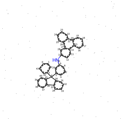 c1ccc(C2(c3cccc(Nc4ccc5c6ccccc6c6ccccc6c5c4)c3)c3ccccc3-c3ccccc32)cc1